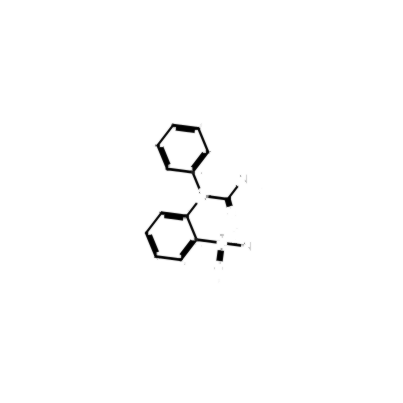 NC(=O)N(c1ccccc1)c1ccccc1S(N)(=O)=O